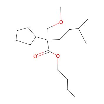 CCCCOC(=O)C(CCC(C)C)(COC)C1CCCC1